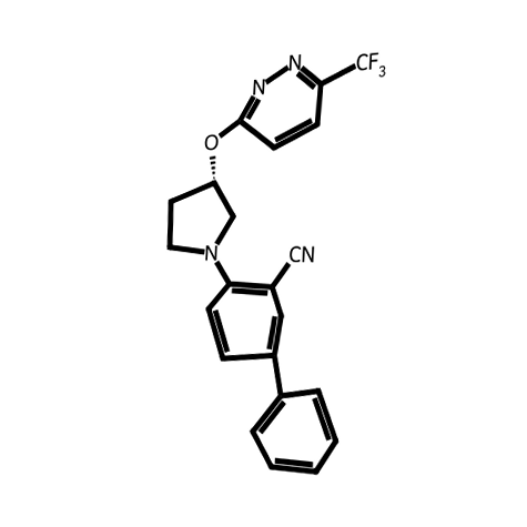 N#Cc1cc(-c2ccccc2)ccc1N1CC[C@H](Oc2ccc(C(F)(F)F)nn2)C1